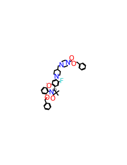 COc1cc(N2CCC(CN3CCN(C(=O)OCc4ccccc4)CC3)CC2)c(F)cc1[C@@H]1N(c2ccccc2OCc2ccccc2)C(=O)C1(C)C